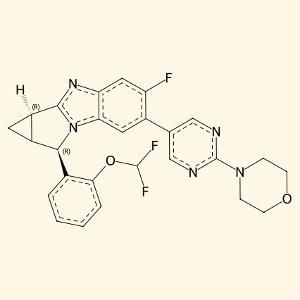 Fc1cc2nc3n(c2cc1-c1cnc(N2CCOCC2)nc1)[C@@H](c1ccccc1OC(F)F)C1C[C@@H]31